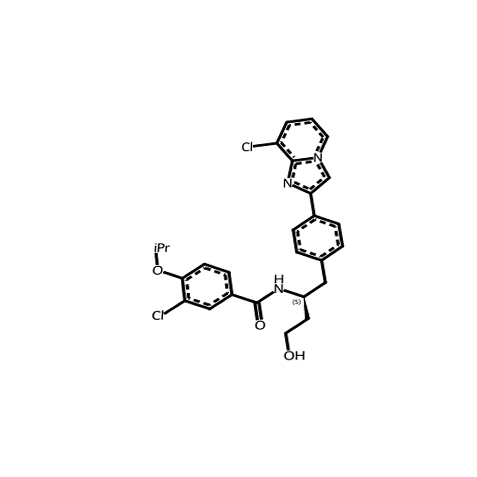 CC(C)Oc1ccc(C(=O)N[C@H](CCO)Cc2ccc(-c3cn4cccc(Cl)c4n3)cc2)cc1Cl